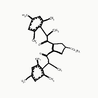 CCOC(=O)C1CC(C(=O)C(C)c2c(C)cc(C)cc2C)C(C(=O)C(C)c2c(C)cc(C)cc2C)C1